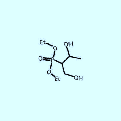 CCOP(=O)(OCC)C(CO)C(C)O